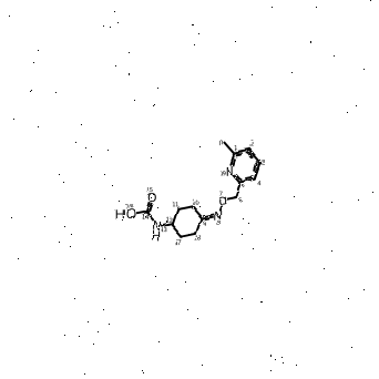 Cc1cccc(CON=C2CCC(NC(=O)O)CC2)n1